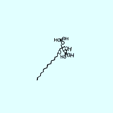 CCCCCCCCCCCCCCOCC(CO)(COP(O)O)COP(O)O